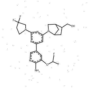 Nc1ncc(-c2cc(N3CC4CC3CC4CO)nc(N3CCC(F)(F)C3)n2)cc1OC(F)F